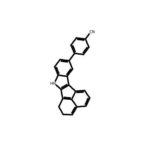 N#Cc1ccc(-c2ccc3[nH]c4c(c3c2)-c2cccc3c2=C4CCC=3)cc1